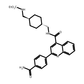 CCOC(=O)NC[C@H]1CC[C@H](CNC(=O)c2cc(-c3ccc(C(N)=O)cc3)nc3ccccc23)CC1